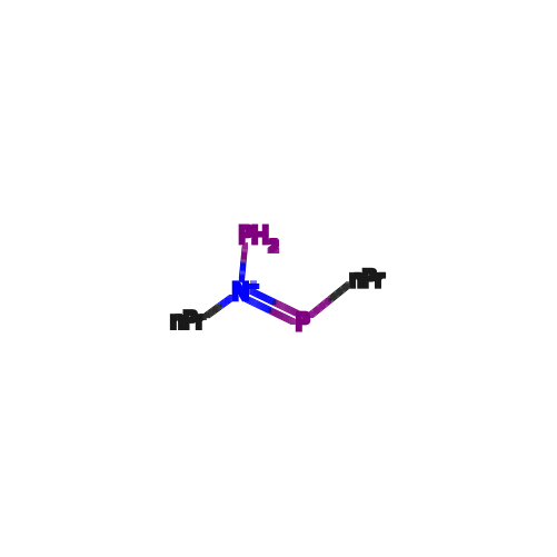 CCCP=[N+](P)CCC